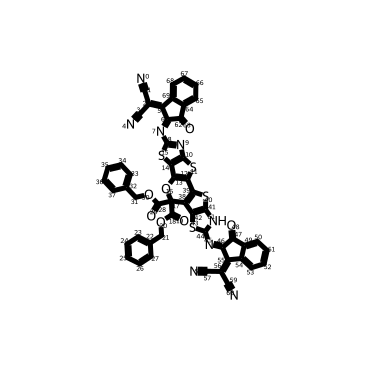 N#CC(C#N)=C1/C(=N/c2nc3sc4c(c3s2)OC(C(=O)OCc2ccccc2)(C(=O)OCc2ccccc2)c2c-4sc3c2SC(/N=C2\C(=O)c4ccccc4C2=C(C#N)C#N)N3)C(=O)c2ccccc21